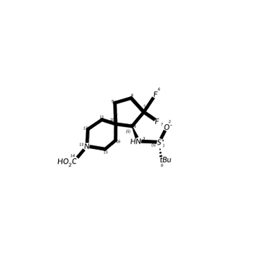 CC(C)(C)[S@@+]([O-])N[C@@H]1C(F)(F)CCC12CCN(C(=O)O)CC2